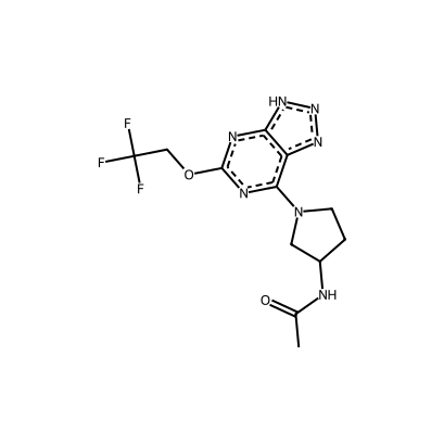 CC(=O)NC1CCN(c2nc(OCC(F)(F)F)nc3[nH]nnc23)C1